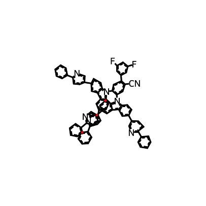 N#Cc1cc(-n2c3ccc(-c4ccc(-c5ccccc5)nc4)cc3c3cc(-c4ccc(-c5ccccc5)nc4)ccc32)c(-n2c3ccc(-c4ccc(-c5ccccc5)nc4)cc3c3cc(-c4ccc(-c5ccccc5)nc4)ccc32)cc1-c1cc(F)cc(F)c1